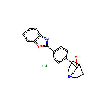 Cl.OC1(c2ccc(-c3nc4ccccc4o3)cc2)CN2CCC1CC2